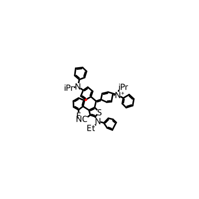 CCN(c1ccccc1)c1sc(C(=C2C=CC(=[N+](c3ccccc3)C(C)C)C=C2)c2ccc(N(c3ccccc3)C(C)C)cc2)c(-c2ccccc2F)c1C#N